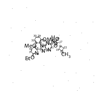 CCOc1cccc(-c2nc3ncc(NS(=O)(=O)C[C@H]4C[C@@H](C)C4)nc3n2-c2c(OC)cccc2OC)n1